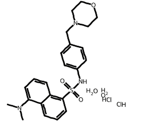 CN(C)c1cccc2c(S(=O)(=O)Nc3ccc(CN4CCOCC4)cc3)cccc12.Cl.Cl.O.O